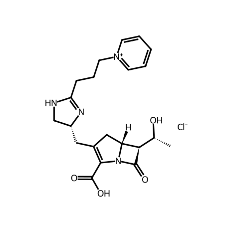 C[C@@H](O)[C@H]1C(=O)N2C(C(=O)O)=C(C[C@@H]3CNC(CCC[n+]4ccccc4)=N3)C[C@H]12.[Cl-]